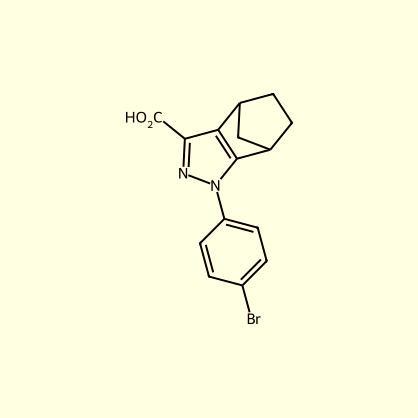 O=C(O)c1nn(-c2ccc(Br)cc2)c2c1C1CCC2C1